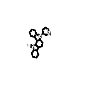 c1cncc(-n2c3ccccc3c3c4[nH]c5ccccc5c4ccc32)c1